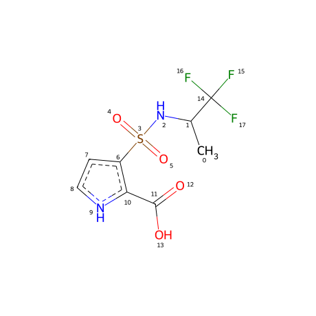 CC(NS(=O)(=O)c1cc[nH]c1C(=O)O)C(F)(F)F